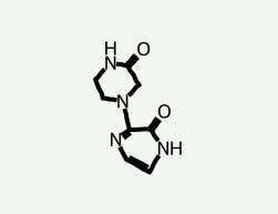 O=C1CN(c2ncc[nH]c2=O)CCN1